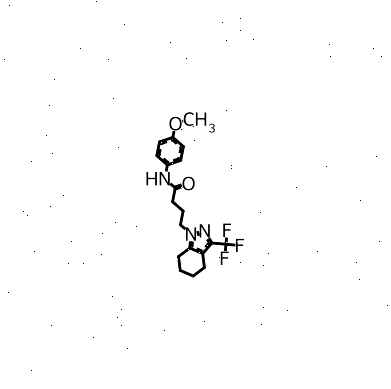 COc1ccc(NC(=O)CCCn2nc(C(F)(F)F)c3c2CCCC3)cc1